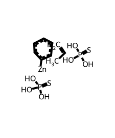 C=CC.OP(O)(O)=S.OP(O)(O)=S.[Zn][c]1ccccc1